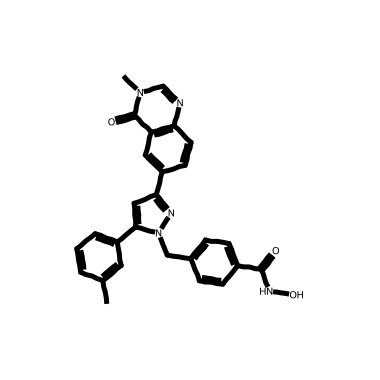 Cc1cccc(-c2cc(-c3ccc4ncn(C)c(=O)c4c3)nn2Cc2ccc(C(=O)NO)cc2)c1